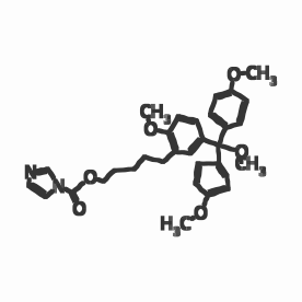 COc1ccc(C(OC)(c2ccc(OC)cc2)c2ccc(OC)c(CCCCCOC(=O)n3ccnc3)c2)cc1